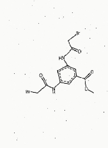 COC(=O)c1cc(NC(=O)CBr)cc(NC(=O)CBr)c1